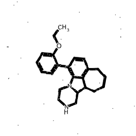 CCOc1ccccc1-c1ccc2c3c1N1CCNCC1C3CCCC2